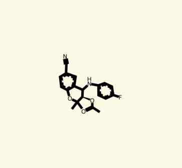 CC(=O)O[C@@H]1C(Nc2ccc(F)cc2)c2cc(C#N)ccc2OC1(C)C